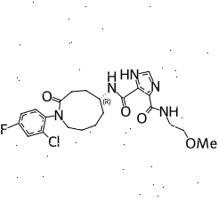 COCCNC(=O)c1nc[nH]c1C(=O)N[C@@H]1CCCCN(c2ccc(F)cc2Cl)C(=O)CC1